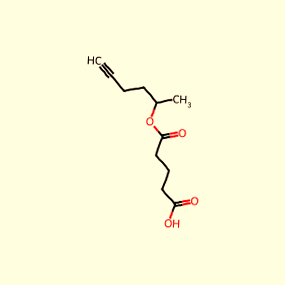 C#CCCC(C)OC(=O)CCCC(=O)O